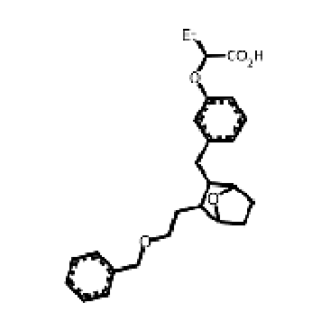 CCC(Oc1cccc(CC2C3CCC(O3)C2CCOCc2ccccc2)c1)C(=O)O